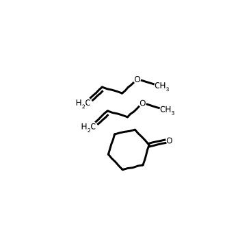 C=CCOC.C=CCOC.O=C1CCCCC1